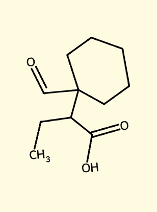 CCC(C(=O)O)C1(C=O)CCCCC1